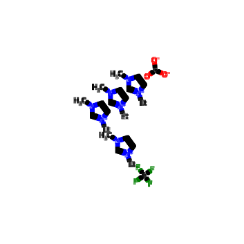 CC[n+]1ccn(C)c1.CC[n+]1ccn(C)c1.CC[n+]1ccn(C)c1.CC[n+]1ccn(C)c1.F[B-](F)(F)F.[O-]B([O-])[O-]